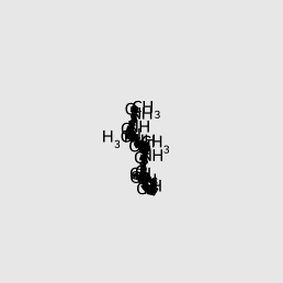 COc1cc2c(cc1OCCCC(=O)Nc1cc(C(=O)Nc3cn(C)c(C(=O)NCCCNC(C)=O)n3)n(C)c1)N=C[C@@H]1CCCN1C2=O